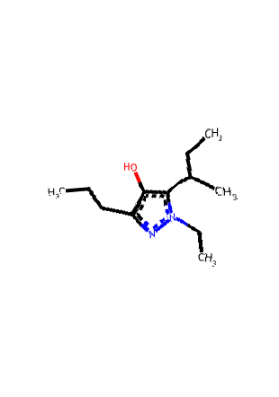 CCCc1nn(CC)c(C(C)CC)c1O